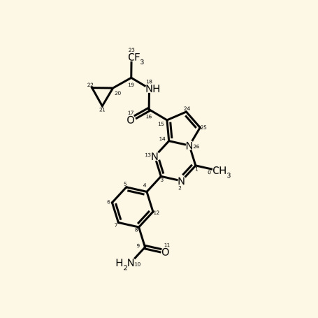 Cc1nc(-c2cccc(C(N)=O)c2)nc2c(C(=O)NC(C3CC3)C(F)(F)F)ccn12